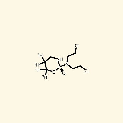 [2H]C1([2H])CNP(=O)(N(CCCl)CCCl)OC1([2H])[2H]